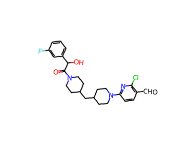 O=Cc1ccc(N2CCC(CC3CCN(C(=O)C(O)c4cccc(F)c4)CC3)CC2)nc1Cl